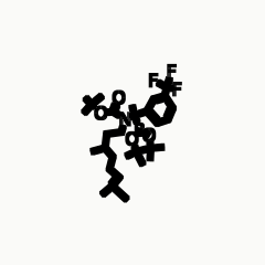 CC(C)=CCCC(C)CCN(C(=O)OC(C)(C)C)C(C)(B1OC(C)(C)C(C)(C)O1)c1cccc(C(F)(F)F)c1